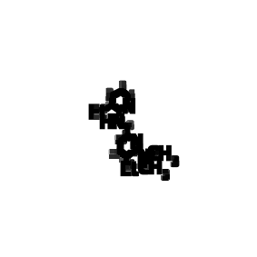 CCc1cccnc1NCc1ccc(CC)c(N(C)C)n1